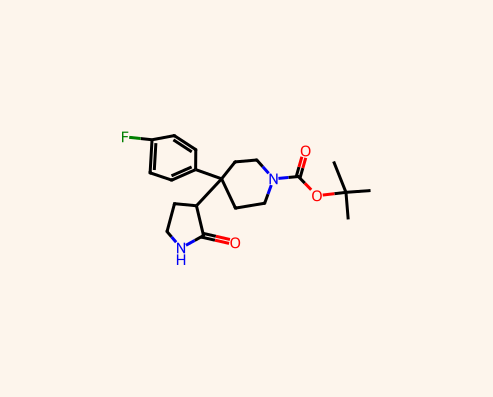 CC(C)(C)OC(=O)N1CCC(c2ccc(F)cc2)(C2CCNC2=O)CC1